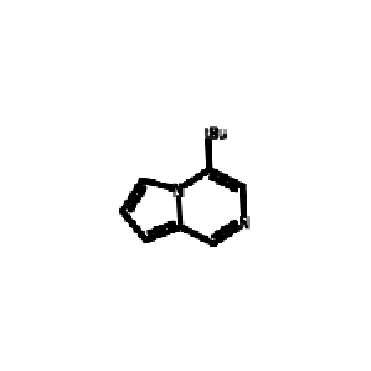 CC(C)(C)c1cncc2cccn12